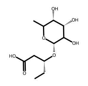 CC[C@H](CC(=O)O)O[C@@H]1OC(C)[C@H](O)[C@H](O)C1O